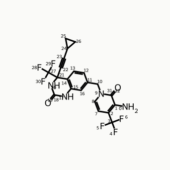 Nc1c(C(F)(F)F)ccn(Cc2ccc3c(c2)NC(=O)NC3(C#CC2CC2)C(F)(F)F)c1=O